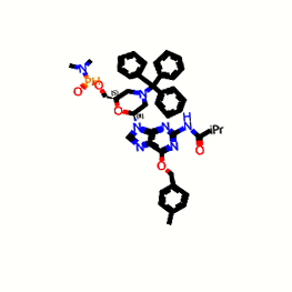 Cc1ccc(COc2nc(NC(=O)C(C)C)nc3c2ncn3[C@H]2CN(C(c3ccccc3)(c3ccccc3)c3ccccc3)C[C@@H](CO[PH](=O)N(C)C)O2)cc1